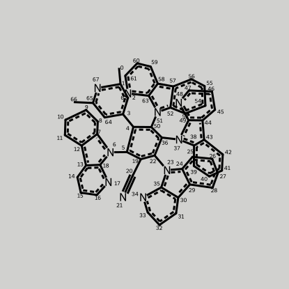 Cc1cc(-c2c(-n3c4ccccc4c4cccnc43)c(C#N)c(-n3c4ccccc4c4cccnc43)c(-n3c4ccccc4c4cccnc43)c2-n2c3ccccc3c3cccnc32)cc(C)n1